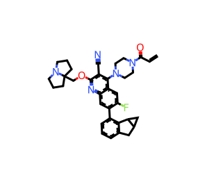 C=CC(=O)N1CCN(c2c(C#N)c(OCC34CCCN3CCC4)nc3cc(-c4cccc5c4C4CC4C5)c(F)cc23)CC1